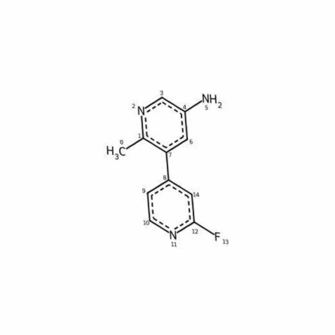 Cc1ncc(N)cc1-c1ccnc(F)c1